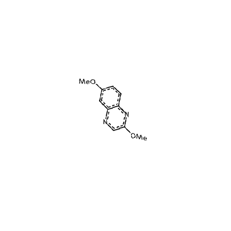 COc1ccc2nc(OC)cnc2c1